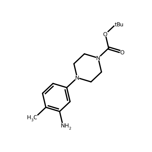 Cc1ccc(N2CCN(C(=O)OC(C)(C)C)CC2)cc1N